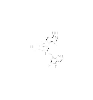 CC1(C)O[C@@H]2[C@H](O1)C(CCc1cc(F)c(F)c3ccncc13)=C[C@H]2n1ccc2c(N)ncnc21